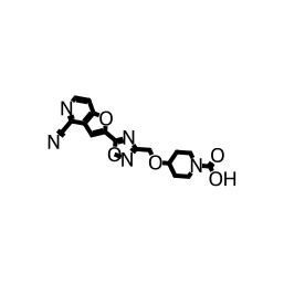 N#Cc1nccc2oc(-c3nc(COC4CCN(C(=O)O)CC4)no3)cc12